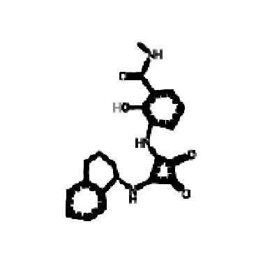 CNC(=O)c1cccc(Nc2c(N[C@@H]3CCCc4ccccc43)c(=O)c2=O)c1O